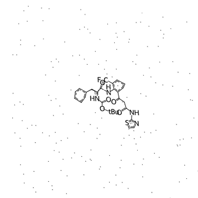 CC(C)(C)OC(=O)N[C@@H](Cc1ccccc1)C(=O)Nc1c(C(=O)CC(=O)Nc2nccs2)cccc1C(F)(F)F